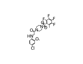 COc1cc(Cl)ccc1NCC(=O)N1CCN(S(=O)(=O)c2c(C)c(F)c(F)c(F)c2F)CC1